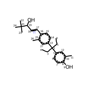 CCC(CC)(c1ccc(O)c(C)c1)c1ccc(/C=C/C(O)C(C)(C)C)c(C)c1